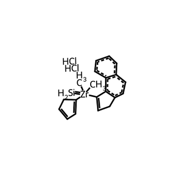 Cl.Cl.[CH3][Zr]([CH3])(=[SiH2])([C]1=CC=CC1)[C]1=CCc2ccc3ccccc3c21